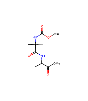 COC(=O)C(C)NC(=O)C(C)(C)NC(=O)OC(C)(C)C